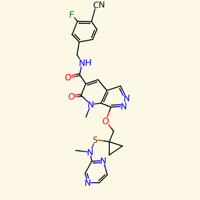 CN(SC1(COc2nncc3cc(C(=O)NCc4ccc(C#N)c(F)c4)c(=O)n(C)c23)CC1)c1cnccn1